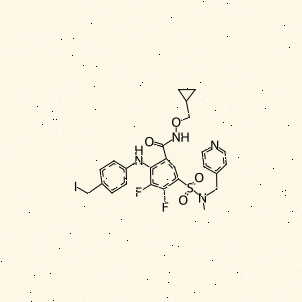 CN(Cc1ccncc1)S(=O)(=O)c1cc(C(=O)NOCC2CC2)c(Nc2ccc(CI)cc2)c(F)c1F